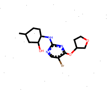 CC1CCC(Nc2ncc(Br)c(OC3CCOC3)n2)C(O)C1